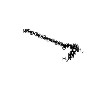 [N-]=[N+]=NCCOCCOCCOCCOCCOCCOCCOCCOCCC(=O)N1CC(Cn2nc(-c3ccc4oc(N)nc4c3)c3c(N)ncnc32)C1